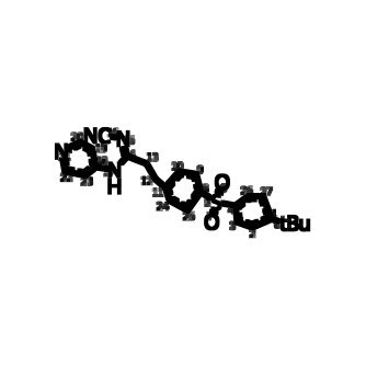 CC(C)(C)c1ccc(S(=O)(=O)c2ccc(CCC(=NC#N)Nc3ccncc3)cc2)cc1